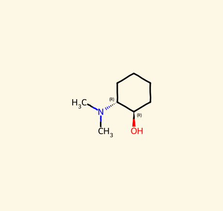 CN(C)[C@@H]1CCCC[C@H]1O